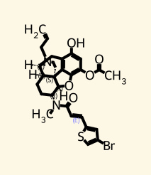 C=CCN1CC[C@]23c4c5c(O)cc(OC(C)=O)c4O[C@H]2[C@H](N(C)C(=O)/C=C/c2cc(Br)cs2)CC[C@H]3[C@H]1C5